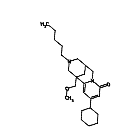 CCCCCN1CC2Cn3c(cc(C4CCCCC4)cc3=O)C(COC)(C2)C1